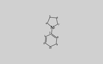 C1=CC(N2CCCC2)=CCC1